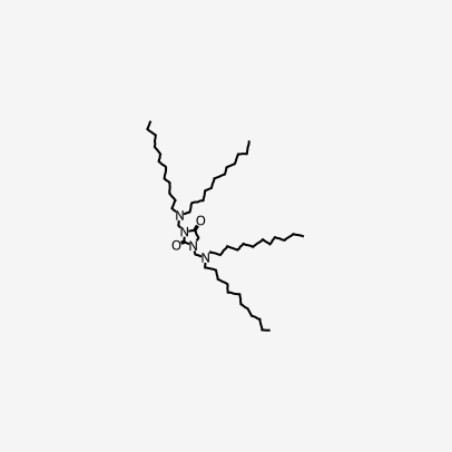 CCCCCCCCCCCCN(CCCCCCCCCCCC)CN1CC(=O)N(CN(CCCCCCCCCCCC)CCCCCCCCCCCC)C1=O